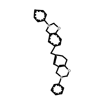 C1=C(Cc2ccc3c(c2)CN(c2ccccc2)CO3)CCC2=C1CN(c1ccccc1)CO2